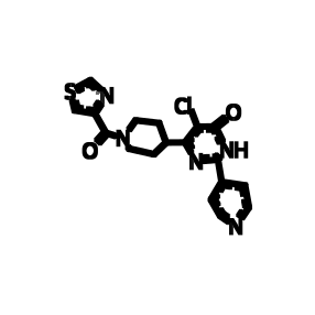 O=C(c1cscn1)N1CCC(c2nc(-c3ccncc3)[nH]c(=O)c2Cl)CC1